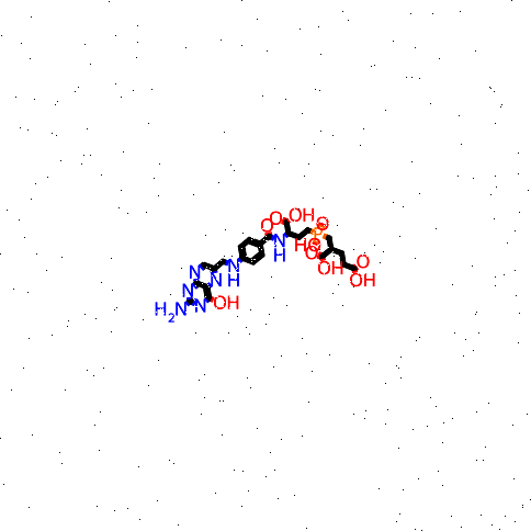 Nc1nc(O)c2nc(CNc3ccc(C(=O)NC(CCP(=O)(O)CC(CCC(=O)O)C(=O)O)C(=O)O)cc3)cnc2n1